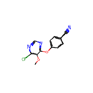 COc1c(Cl)ncnc1Oc1ccc(C#N)cc1